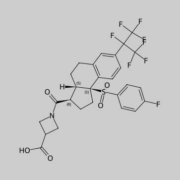 O=C(O)C1CN(C(=O)[C@@H]2CC[C@@]3(S(=O)(=O)c4ccc(F)cc4)c4ccc(C(F)(C(F)(F)F)C(F)(F)F)cc4CC[C@@H]23)C1